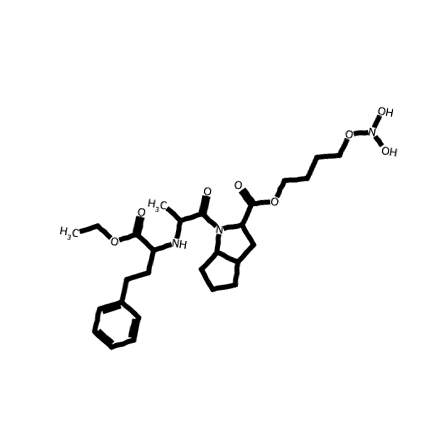 CCOC(=O)C(CCc1ccccc1)NC(C)C(=O)N1C(C(=O)OCCCCON(O)O)CC2CCCC21